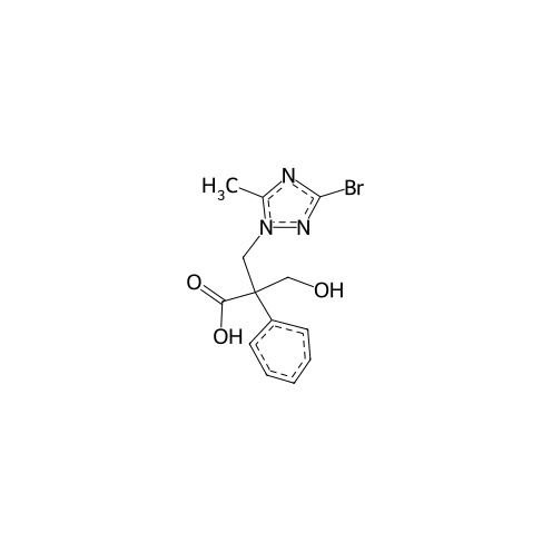 Cc1nc(Br)nn1CC(CO)(C(=O)O)c1ccccc1